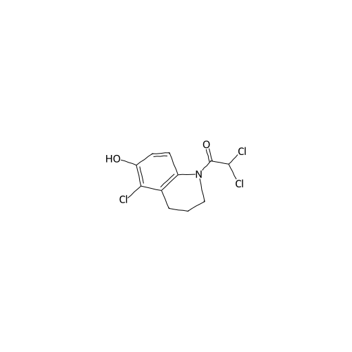 O=C(C(Cl)Cl)N1CCCc2c1ccc(O)c2Cl